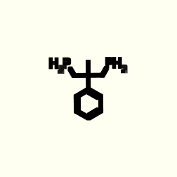 CC(CP)(CP)c1ccccc1